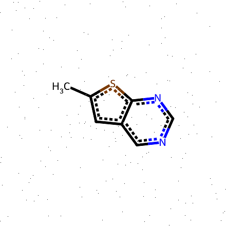 Cc1cc2cncnc2s1